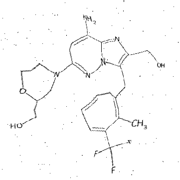 Cc1c(Cc2c(CO)nc3c(N)cc(N4CCOC(CO)C4)nn23)cccc1C(F)(F)F